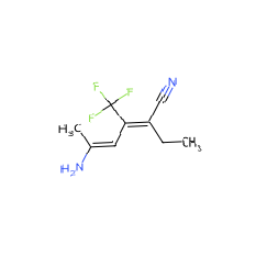 CC/C(C#N)=C(\C=C(/C)N)C(F)(F)F